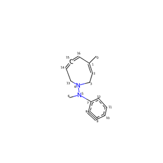 C/C1=C/CN(N(C)c2c#cccc2)CC=C=C1